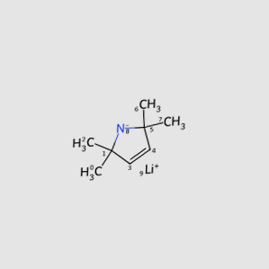 CC1(C)C=CC(C)(C)[N-]1.[Li+]